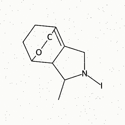 CC1C2C(=C3CCC2OC3)CN1I